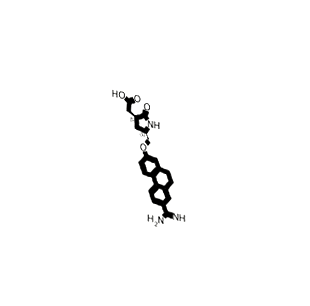 N=C(N)c1ccc2c(c1)CCc1cc(OC[C@@H]3C[C@@H](CC(=O)O)C(=O)N3)ccc1-2